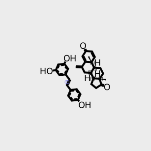 C=C1C[C@@H]2[C@H](CC[C@]3(C)C(=O)CC[C@@H]23)[C@@]2(C)C=CC(=O)C=C12.Oc1ccc(/C=C/c2cc(O)cc(O)c2)cc1